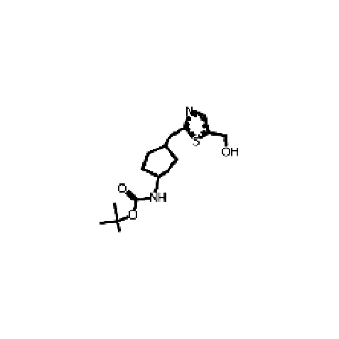 CC(C)(C)OC(=O)NC1CCC(Cc2ncc(CO)s2)CC1